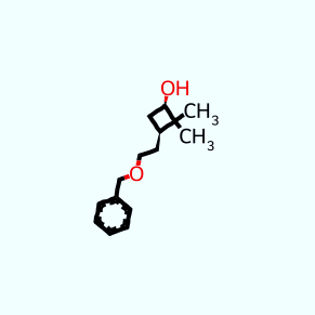 CC1(C)[C@@H](CCOCc2ccccc2)C[C@H]1O